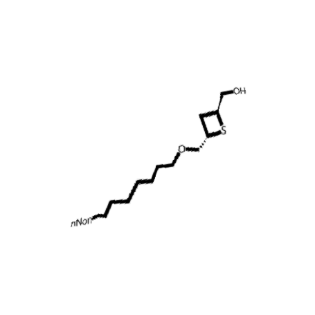 CCCCCCCCCCCCCCCCOC[C@@H]1C[C@@H](CO)S1